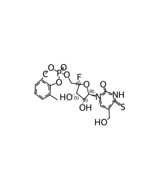 Cc1cccc2c1OP(=O)(OC[C@@]1(F)O[C@@H](n3cc(CO)c(=S)[nH]c3=O)[C@H](O)[C@@H]1O)OC2